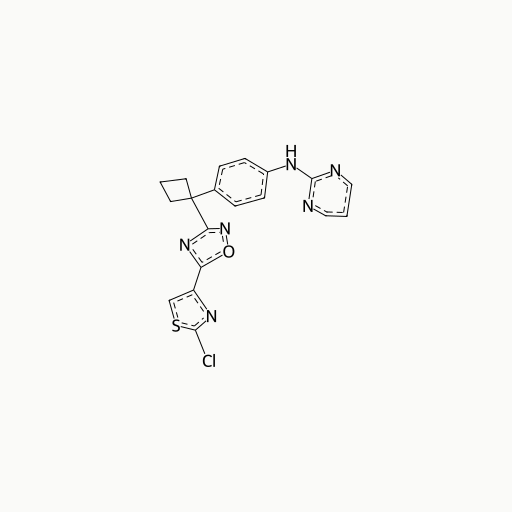 Clc1nc(-c2nc(C3(c4ccc(Nc5ncccn5)cc4)CCC3)no2)cs1